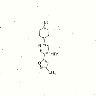 CCN1CCN(c2ncc(-c3cc(C)no3)c(C(C)C)n2)CC1